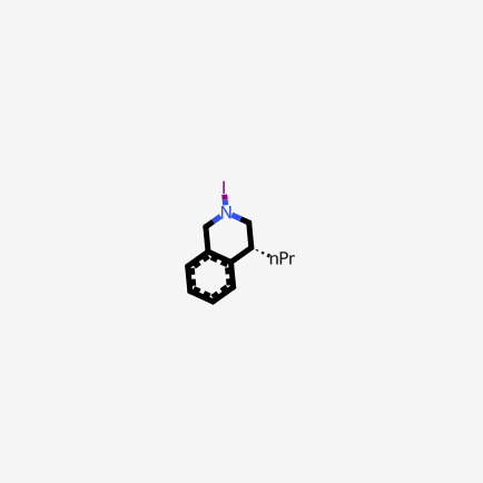 CCC[C@H]1CN(I)Cc2ccccc21